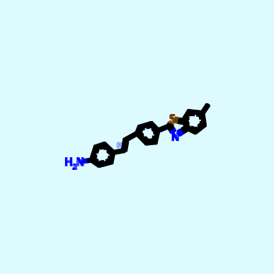 Cc1ccc2nc(-c3ccc(/C=C/c4ccc(N)cc4)cc3)sc2c1